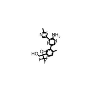 Cc1ncc(-c2nc(-c3cc([C@](O)(CO)C(F)(F)F)ccc3C)cnc2N)s1